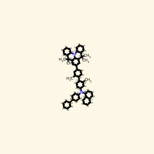 Cc1cc(-c2cc3c4c(c2)C(C)(C)c2ccccc2N4c2ccccc2C3(C)C)ccc1-c1ccc(N(c2ccc(-c3ccccc3)cc2)c2cccc3ccccc23)cc1C